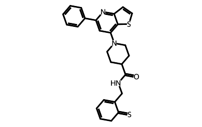 O=C(NCC1=CC=CCC1=S)C1CCN(c2cc(-c3ccccc3)nc3ccsc23)CC1